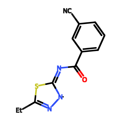 CCC1=N[N]C(=NC(=O)c2cccc(C#N)c2)S1